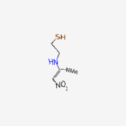 CN/C(=C\[N+](=O)[O-])NCCS